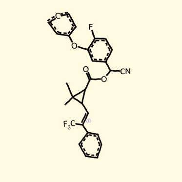 CC1(C)C(/C=C(/c2ccccc2)C(F)(F)F)C1C(=O)OC(C#N)c1ccc(F)c(Oc2ccccc2)c1